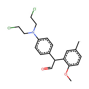 [CH2]c1ccc(OC)c(C([C]=O)c2ccc(N(CCCl)CCCl)cc2)c1